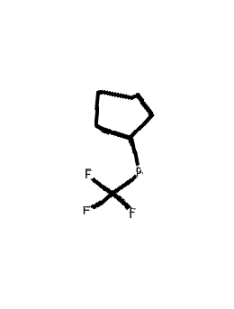 FC(F)(F)[P]C1CCCC1